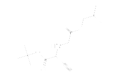 C#CC(NCC(=O)OCC(C)C)C(=O)OC(C)(C)C